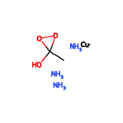 CC1(O)OO1.N.N.N.[Cu]